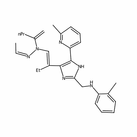 C=C(CCC)N(/C=C(\CC)c1nc(CNc2ccccc2C)[nH]c1-c1cccc(C)n1)/N=C\C